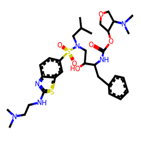 CC(C)CN(CC(O)C(Cc1ccccc1)NC(=O)OC1COCC1N(C)C)S(=O)(=O)c1ccc2nc(NCCN(C)C)sc2c1